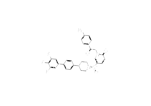 O=C(Cn1cc([S+]([O-])N2CCC(c3ccc(-c4cc(F)c(F)c(F)c4)cc3)CC2)ccc1=O)c1ccc(Br)cc1